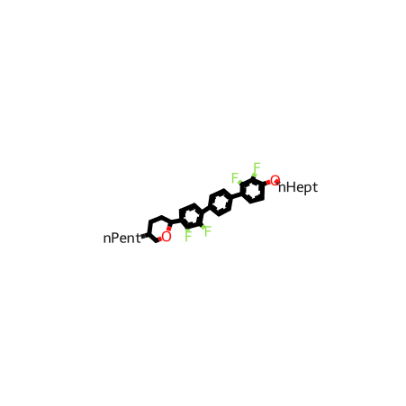 CCCCCCCOc1ccc(-c2ccc(-c3ccc(C4CCC(CCCCC)CO4)c(F)c3F)cc2)c(F)c1F